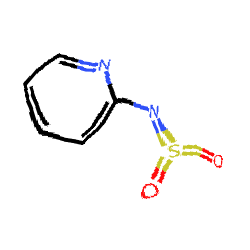 O=S(=O)=Nc1ccccn1